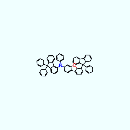 c1ccc(N(c2ccc3c(c2)oc2c(C4(c5ccccc5)c5ccccc5-c5ccccc54)cccc23)c2cccc3c2-c2ccccc2C3(c2ccccc2)c2ccccc2)cc1